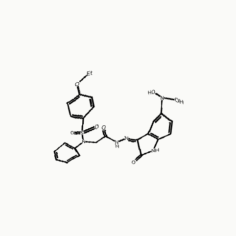 CCOc1ccc(S(=O)(=O)N(CC(=O)NN=C2C(=O)Nc3ccc(N(O)O)cc32)c2ccccc2)cc1